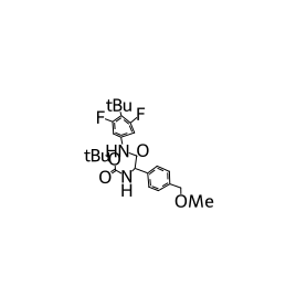 COCc1ccc(C(NC(=O)OC(C)(C)C)C(=O)Nc2cc(F)c(C(C)(C)C)c(F)c2)cc1